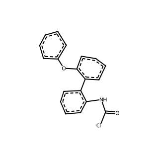 O=C(Cl)Nc1ccccc1-c1ccccc1Oc1ccccc1